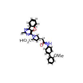 COc1ccccc1-c1ccc(NC(=O)C[C@H]2C[C@@H](C(=O)O)N(c3nc(C)nc4c3oc3ccccc34)C2)cc1